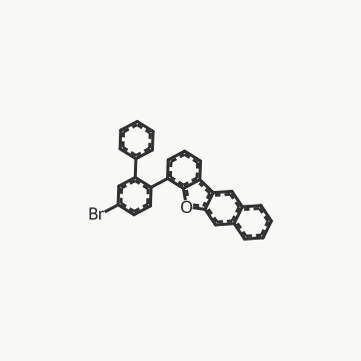 Brc1ccc(-c2cccc3c2oc2cc4ccccc4cc23)c(-c2ccccc2)c1